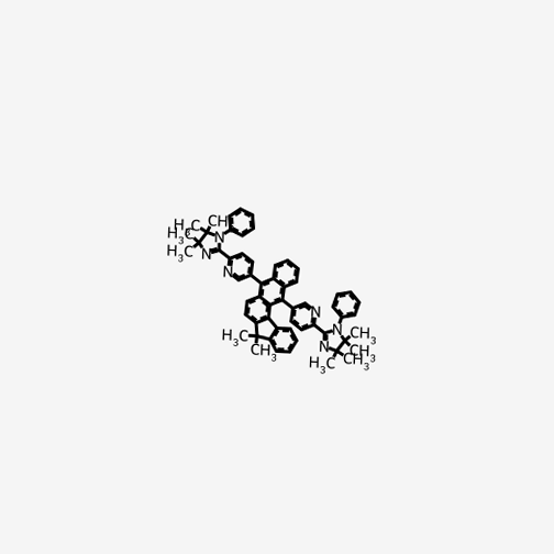 CC1(C)c2ccccc2-c2c1ccc1c(-c3ccc(C4=NC(C)(C)C(C)(C)N4c4ccccc4)nc3)c3ccccc3c(-c3ccc(C4=NC(C)(C)C(C)(C)N4c4ccccc4)nc3)c21